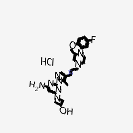 Cc1c(/C=C/CN2CCN3c4cc(F)ccc4OCC3C2)cnn1-c1nc(N)cc(N2CC(O)C2)n1.Cl